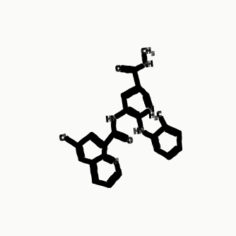 CNC(=O)c1cnc(Nc2ccccc2C)c(NC(=O)c2cc(Cl)cc3cccnc23)c1